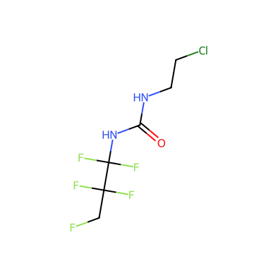 O=C(NCCCl)NC(F)(F)C(F)(F)CF